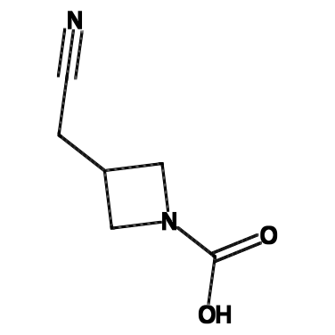 N#CCC1CN(C(=O)O)C1